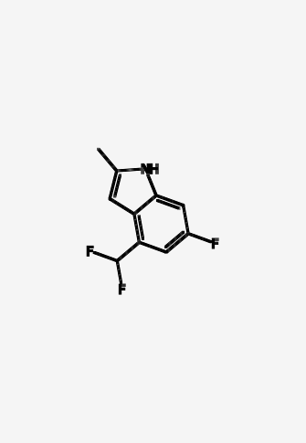 Cc1cc2c(C(F)F)cc(F)cc2[nH]1